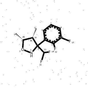 C[C@H]1ONC(c2cccc(F)c2F)(C(F)F)[C@H]1C